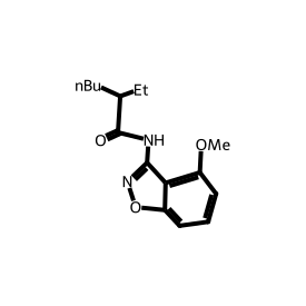 CCCCC(CC)C(=O)Nc1noc2cccc(OC)c12